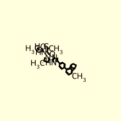 COC(=O)N[C@H](C(=O)N1C[C@@H](C)C[C@H]1c1ncc(-c2ccc(-c3ccc(C)c4c3C3CCC4C3)cc2)[nH]1)C(C)C